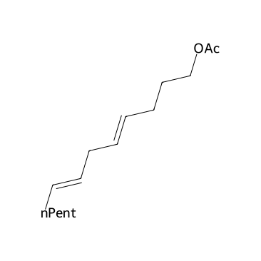 CCCCCC=CCC=CCCCOC(C)=O